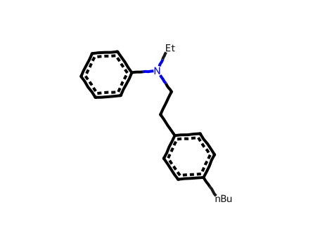 CCCCc1ccc(CCN(CC)c2ccccc2)cc1